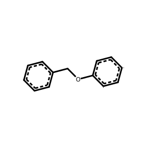 [c]1c[c]c(OCc2ccccc2)cc1